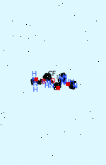 O=C(Nc1cccc(-c2cn3ccnc3c(NCc3ccncc3)n2)c1)Nc1cc(C(F)(F)F)ccc1OCCC1CNCCN1